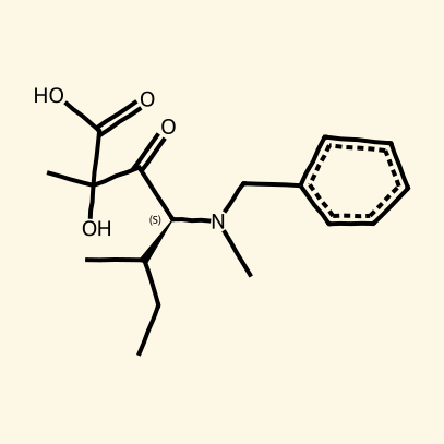 CCC(C)[C@@H](C(=O)C(C)(O)C(=O)O)N(C)Cc1ccccc1